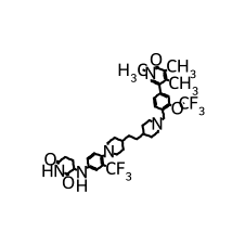 Cc1c(-c2ccc(CN3CCC(CCC4CCN(c5ccc(NC6CCC(=O)NC6=O)cc5C(F)(F)F)CC4)CC3)c(OC(F)(F)F)c2)cn(C)c(=O)c1C